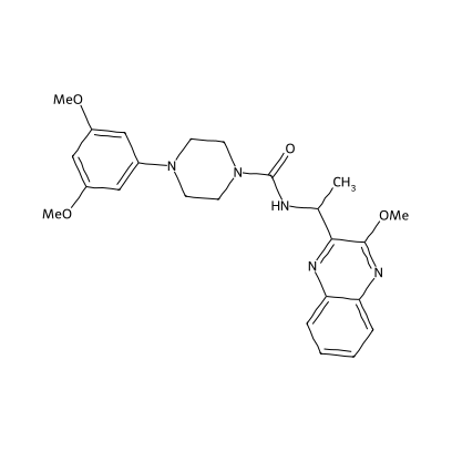 COc1cc(OC)cc(N2CCN(C(=O)NC(C)c3nc4ccccc4nc3OC)CC2)c1